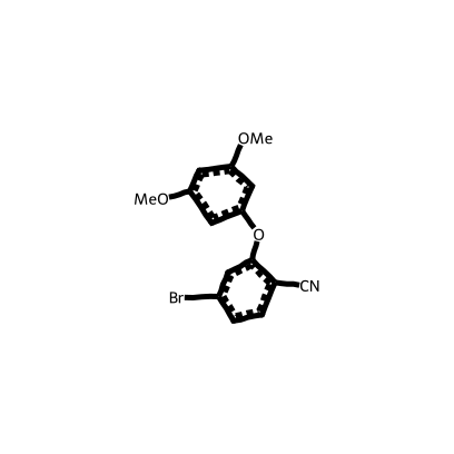 COc1cc(OC)cc(Oc2cc(Br)ccc2C#N)c1